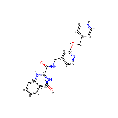 O=C(NCc1ccnc(OCc2ccncc2)c1)c1nc2ccccc2c(=O)[nH]1